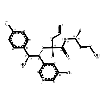 C=CC[C@@](C)(C[C@H](c1cncc(Cl)c1)[C@@H](O)c1ccc(Cl)cc1)C(=O)N[C@@H](C)CCO